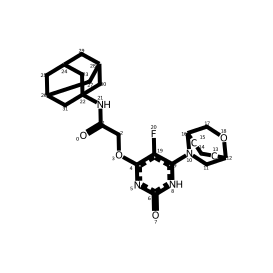 O=C(COc1nc(=O)[nH]c(N2CC3CCCC2CO3)c1F)NC12CC3CC(CC(C3)C1)C2